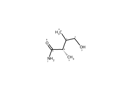 C[C](CO)[C@H](C)C(N)=O